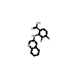 O=C(O)c1ccc(F)c(F)c1Nc1cnc2ccccc2c1